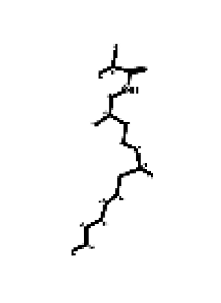 C=C(NCC(C)CCCC(C)CCCCCCC)C(C)C